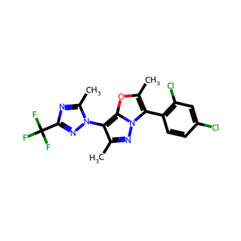 Cc1nn2c(-c3ccc(Cl)cc3Cl)c(C)oc2c1-n1nc(C(F)(F)F)nc1C